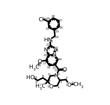 COCC1COC(C)(CCO)CN1C(=O)c1cc(OC)c2nc(NCc3cccc(Cl)c3)nn2c1